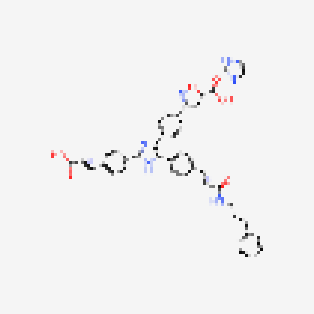 O=C(O)/C=C/c1ccc(-c2nc(-c3ccc(C4=NOC(C(=O)O)C4)cc3)c(-c3ccc(/C=C/C(=O)NCCCc4ccccc4)cc3)[nH]2)cc1.c1c[nH]cn1